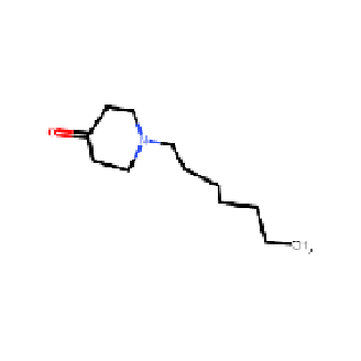 CCCCCCCN1CCC(=O)CC1